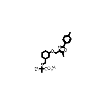 CCC(C)(SCC1CCCC(OCc2nc(-c3ccc(C)cc3)oc2C)C1)C(=O)O